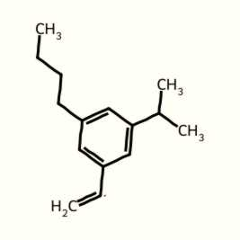 C=[C]c1cc(CCCC)cc(C(C)C)c1